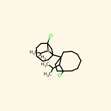 CC(C)B1C2(Cl)CCCCCC1(C13CCCCCCC(Cl)(CC1)C3C(C)C)C2